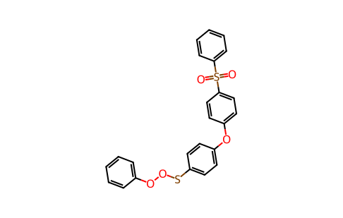 O=S(=O)(c1ccccc1)c1ccc(Oc2ccc(SOOc3ccccc3)cc2)cc1